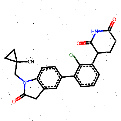 N#CC1(CN2C(=O)Cc3cc(-c4cccc(C5CCC(=O)NC5=O)c4Cl)ccc32)CC1